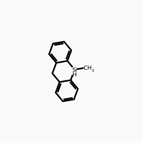 C[SiH]1c2ccccc2Cc2ccccc21